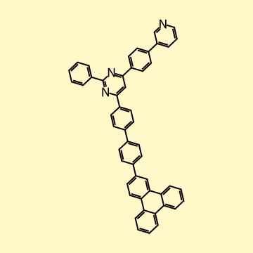 c1ccc(-c2nc(-c3ccc(-c4ccc(-c5ccc6c7ccccc7c7ccccc7c6c5)cc4)cc3)cc(-c3ccc(-c4cccnc4)cc3)n2)cc1